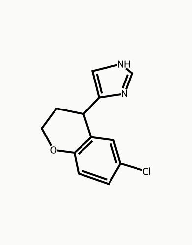 Clc1ccc2c(c1)C(c1c[nH]cn1)CCO2